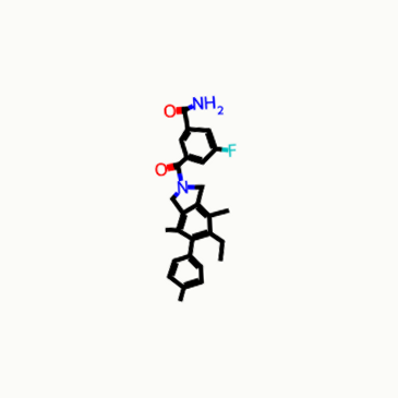 CCc1c(C)c2c(c(C)c1-c1ccc(C)cc1)CN(C(=O)c1cc(F)cc(C(N)=O)c1)C2